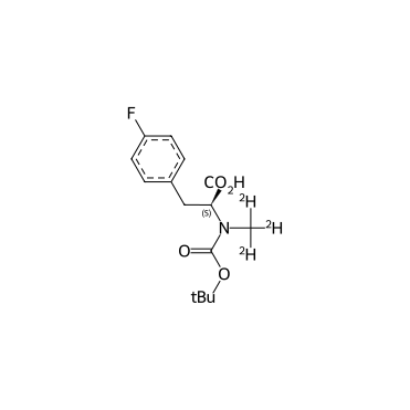 [2H]C([2H])([2H])N(C(=O)OC(C)(C)C)[C@@H](Cc1ccc(F)cc1)C(=O)O